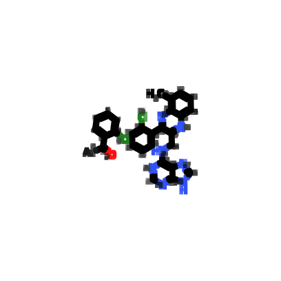 CC(=O)C(=O)c1ccccc1Cl.Cc1cccc2nc(CNc3ncnc4[nH]cnc34)c(-c3ccccc3Cl)nc12